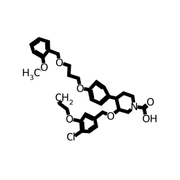 C=CCOc1cc(COC2CN(C(=O)O)CCC2c2ccc(OCCCOCc3ccccc3OC)cc2)ccc1Cl